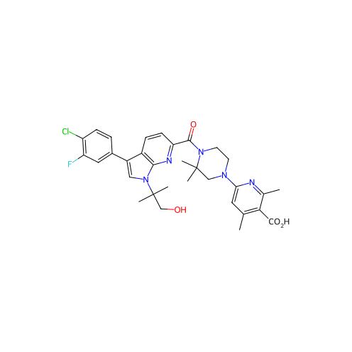 Cc1cc(N2CCN(C(=O)c3ccc4c(-c5ccc(Cl)c(F)c5)cn(C(C)(C)CO)c4n3)C(C)(C)C2)nc(C)c1C(=O)O